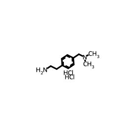 CN(C)Cc1ccc(CCN)cc1.Cl.Cl